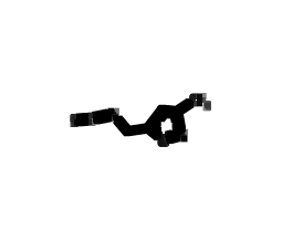 FC(F)(F)c1cc(CN=C=S)on1